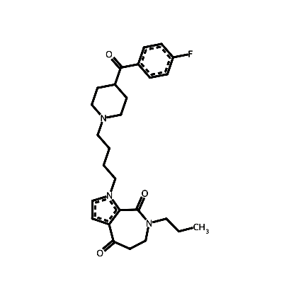 CCCN1CCC(=O)c2ccn(CCCCN3CCC(C(=O)c4ccc(F)cc4)CC3)c2C1=O